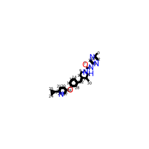 Cc1cnc(NC(=O)N2CCC(=Cc3cccc(Oc4ccc(C5CC5)nc4)c3)C(C)C2)cn1